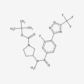 CN(C(=O)c1ccc(-c2noc(C(F)(F)F)n2)c(F)c1)C1CCN(C(=O)OC(C)(C)C)C1